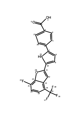 O=C(O)c1ccc(-c2ccc(-c3cc4c(C(F)(F)F)ccc(F)c4o3)[nH]2)cc1